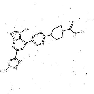 CCNC(=O)N1CCN(c2ccc(-c3cc(-c4cnn(C)c4)cn4ncc(C#N)c34)cn2)CC1